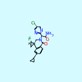 NC(=O)C(c1ncc(Cl)cn1)N1C[C@]2(C[C@H]2F)c2cc(C3CC3)ccc2C1=O